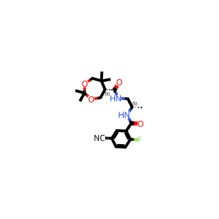 C[C@@H](CNC(=O)[C@@H]1COC(C)(C)OCC1(C)C)NC(=O)c1cc(C#N)ccc1F